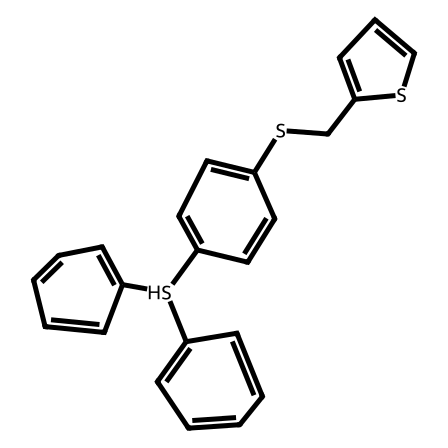 c1ccc([SH](c2ccccc2)c2ccc(SCc3cccs3)cc2)cc1